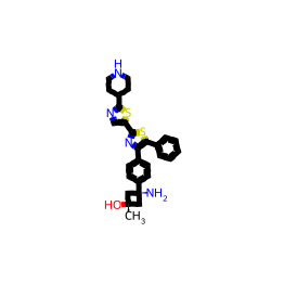 C[C@]1(O)C[C@@](N)(c2ccc(-c3nc(-c4cnc(C5CCNCC5)s4)sc3-c3ccccc3)cc2)C1